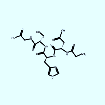 NCC(=O)N[C@@H](CC(=O)O)C(=O)N[C@@H](Cc1c[nH]cn1)C(=O)N[C@@H](CO)C(=O)NCC(=O)O